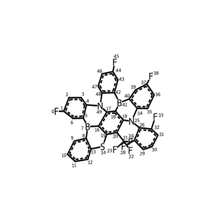 Fc1ccc2c(c1)B1c3ccccc3Sc3c1c1c4c(c3C(F)(F)F)N(c3c(F)cccc3F)c3ccc(F)cc3B4c3cc(F)ccc3N21